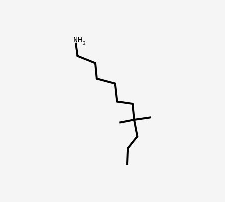 CCCC(C)(C)CCCCCCN